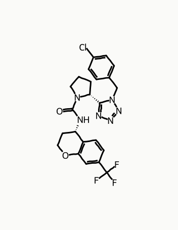 O=C(N[C@H]1CCOc2cc(C(F)(F)F)ccc21)N1CCC[C@@H]1c1nnnn1Cc1ccc(Cl)cc1